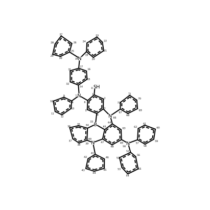 Sc1cc2c(cc1N(c1ccccc1)c1ccc(N(c3ccccc3)c3ccccc3)cc1)B1c3ccccc3N(c3ccccc3)c3cc(N(c4ccccc4)c4ccccc4)cc(c31)N2c1ccccc1